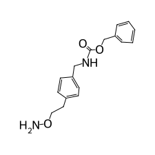 NOCCc1ccc(CNC(=O)OCc2ccccc2)cc1